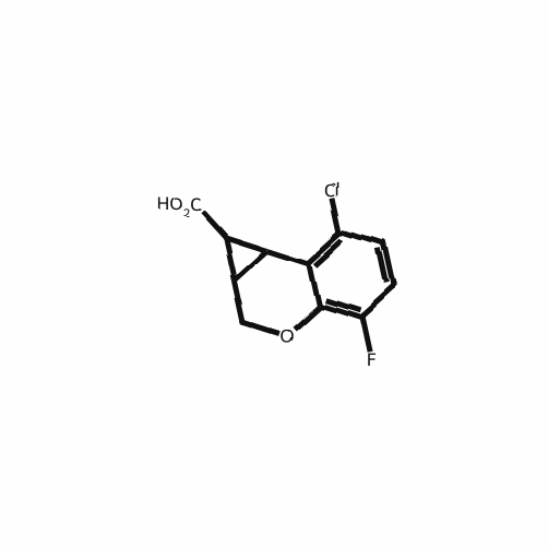 O=C(O)C1C2COc3c(F)ccc(Cl)c3C21